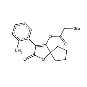 Cc1ccccc1C1=C(OC(=O)CC(C)(C)C)C2(CCCC2)OC1=O